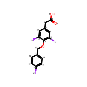 O=C(O)Cc1cc(I)c(OCc2ccc(I)cc2)c(I)c1